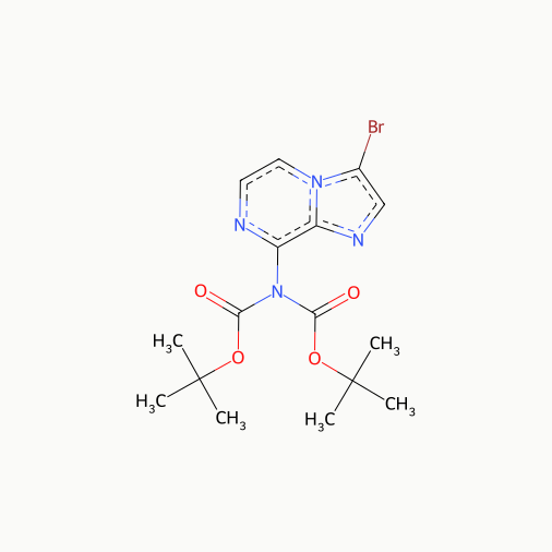 CC(C)(C)OC(=O)N(C(=O)OC(C)(C)C)c1nccn2c(Br)cnc12